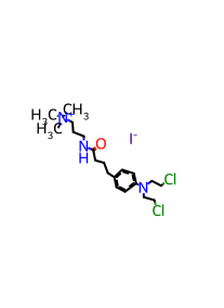 C[N+](C)(C)CCCNC(=O)CCCc1ccc(N(CCCl)CCCl)cc1.[I-]